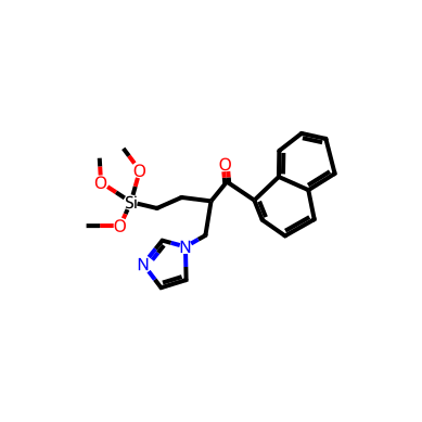 CO[Si](CCC(Cn1ccnc1)C(=O)c1cccc2ccccc12)(OC)OC